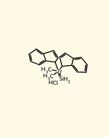 Cl.[CH3][Zr]([CH3])(=[SiH2])([CH]1C=Cc2ccccc21)[CH]1C=Cc2ccccc21